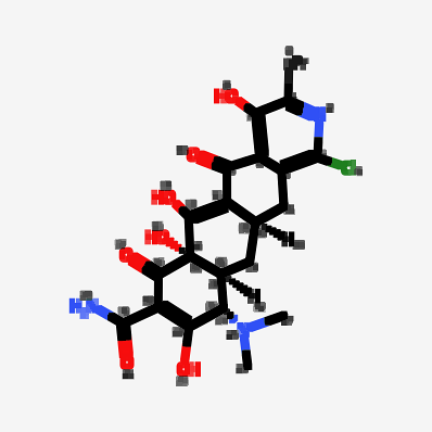 CCCc1nc(Cl)c2c(c1O)C(=O)C1=C(O)[C@]3(O)C(=O)C(C(N)=O)=C(O)[C@@H](N(C)C)[C@@H]3C[C@@H]1C2